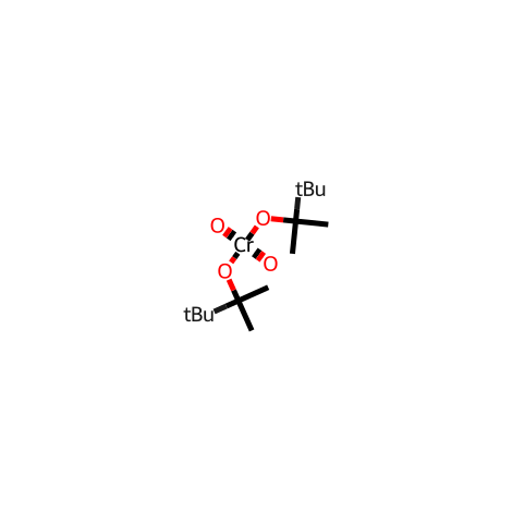 CC(C)(C)C(C)(C)[O][Cr](=[O])(=[O])[O]C(C)(C)C(C)(C)C